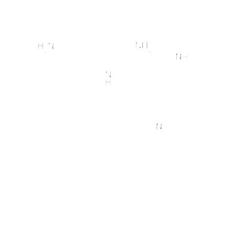 N=C1CCN(Cc2ccccc2)C/C1=C(/N)NCCN